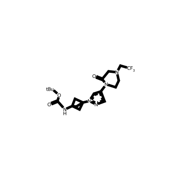 CC(C)(C)OC(=O)NC12CC(n3cc(N4CCN(CC(F)(F)F)CC4=O)cn3)(C1)C2